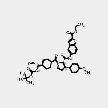 CCOC(=O)c1cc2cc(NC(=O)[C@@H]3[C@@H](C4CCC(OC)CC4)CCN3C(=O)C3CCC([C@@H](CF)NC(=O)OC(C)(C)C)CC3)ccc2o1